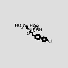 O=C(O)CCNC(=O)C(Cc1ccc(-c2ccc(Cl)cc2)cc1)NCP(=O)(O)O